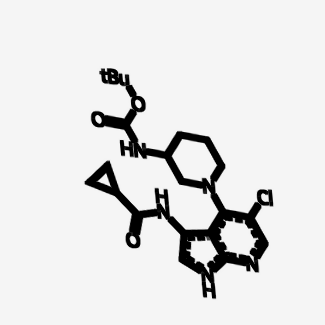 CC(C)(C)OC(=O)NC1CCCN(c2c(Cl)cnc3[nH]cc(NC(=O)C4CC4)c23)C1